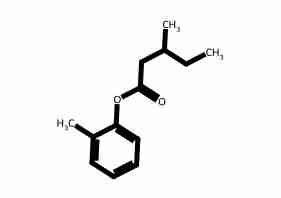 CCC(C)CC(=O)Oc1ccccc1C